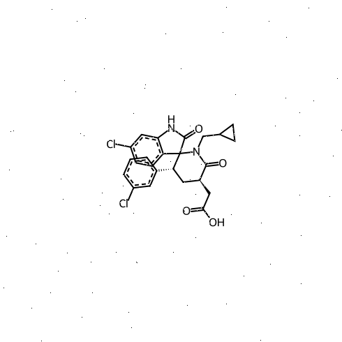 O=C(O)C[C@H]1C[C@H](c2cccc(Cl)c2)C2(C(=O)Nc3cc(Cl)ccc32)N(CC2CC2)C1=O